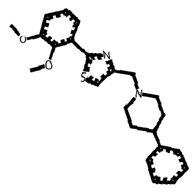 COc1cccc(-c2nc(CN3CCC(c4ccccc4)CC3)cs2)c1OC